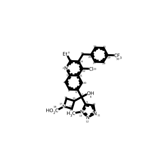 CCc1nc2ccc(C(O)(c3cnnn3C)C3CN(C(=O)O)C3)cc2c(Cl)c1Cc1ccc(C(F)(F)F)cc1